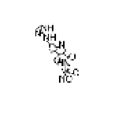 CC(C)N[C@@H](CNC(=O)c1cn(C)c2cc(CNc3ncc[nH]3)ccc2c1=O)C(=O)O